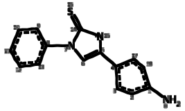 Nc1ccc(C2=CN(c3ccccc3)C(=S)[N]2)cc1